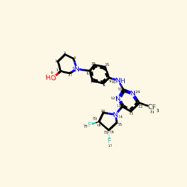 OC1CCCN(c2ccc(Nc3nc(N4C[C@H](F)[C@@H](F)C4)cc(C(F)(F)F)n3)cc2)C1